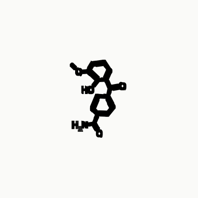 COc1cccc(C(=O)c2ccc(C(N)=O)cc2)c1O